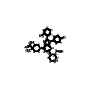 CC1(C(N)=O)CCN(c2nc(N3CCNC[C@H]3CO)nc3c2nc(-c2ccccc2Cl)n3-c2ccc(Cl)cc2)CC1